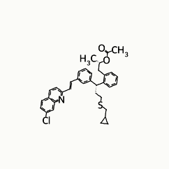 CC(=O)O[C@@H](C)Cc1ccccc1[C@H](CCSCC1CC1)c1cccc(/C=C/c2ccc3ccc(Cl)cc3n2)c1